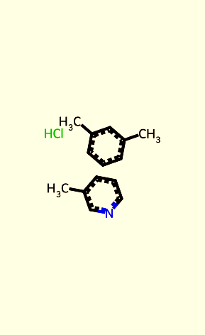 Cc1cccc(C)c1.Cc1cccnc1.Cl